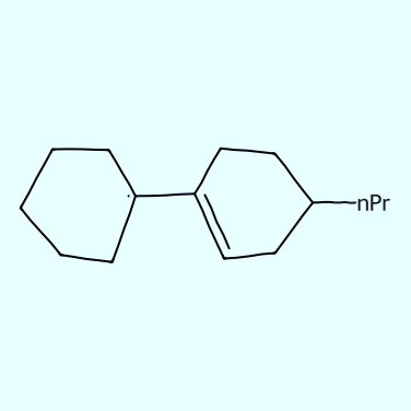 CCCC1CC=C([C]2CCCCC2)CC1